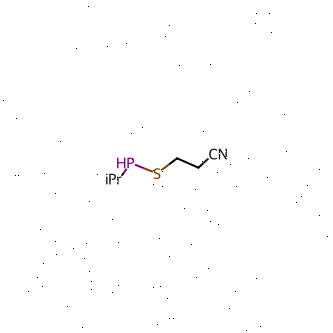 CC(C)PSCCC#N